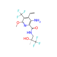 C=Cc1c(N)c(C(=O)NC[C@](C)(O)C(F)(F)F)nc(OC)c1C(F)(F)F